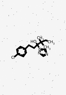 CCC(C)(C)C(O)(CCc1ccc(Cl)cc1)n1cncn1